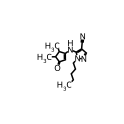 CCCCCn1ncc(C#N)c1NC1=CC(=O)C(C)C1C